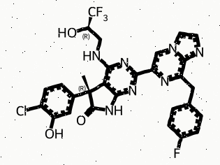 C[C@]1(c2ccc(Cl)c(O)c2)C(=O)Nc2nc(-c3cn4ccnc4c(Cc4ccc(F)cc4)n3)nc(NC[C@@H](O)C(F)(F)F)c21